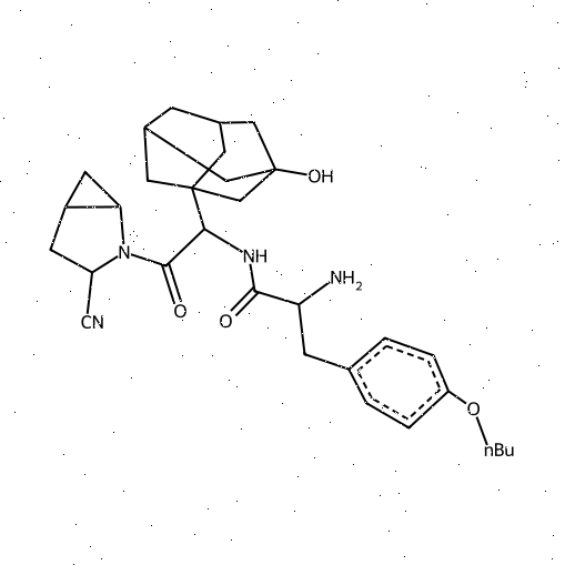 CCCCOc1ccc(CC(N)C(=O)NC(C(=O)N2C(C#N)CC3CC32)C23CC4CC(CC(O)(C4)C2)C3)cc1